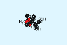 CC(C)c1cccc(C(C)C)c1-n1c(=O)c2cc(Oc3ccc(S(=O)(=O)O)cc3-c3ccc(S(=O)(=O)O)cc3)c3oc4ccccc4c4c(Oc5ccccc5-c5ccccc5)cc(c1=O)c2c34